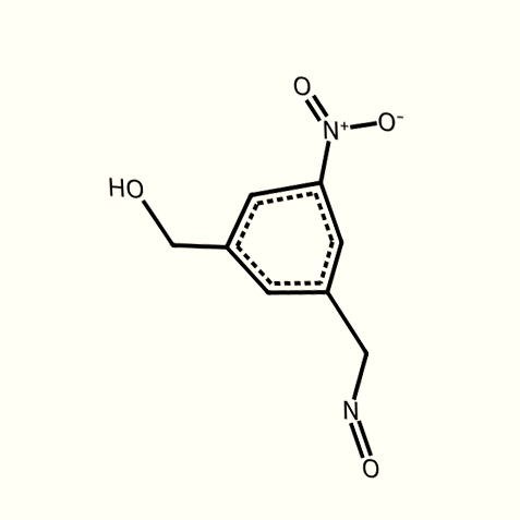 O=NCc1cc(CO)cc([N+](=O)[O-])c1